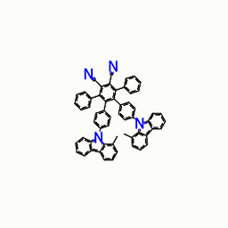 Cc1cccc2c3ccccc3n(-c3ccc(-c4c(-c5ccccc5)c(C#N)c(C#N)c(-c5ccccc5)c4-c4ccc(-n5c6ccccc6c6cccc(C)c65)cc4)cc3)c12